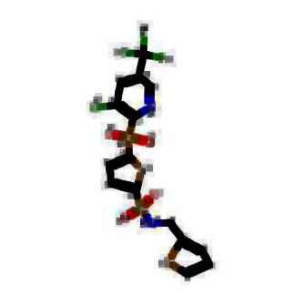 O=S(=O)(NCc1cccs1)c1ccc(S(=O)(=O)c2ncc(C(F)(F)F)cc2Cl)s1